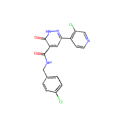 O=C(NCc1ccc(Cl)cc1)c1cc(-c2ccncc2Cl)n[nH]c1=O